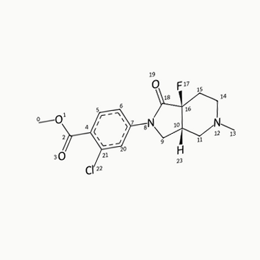 COC(=O)c1ccc(N2C[C@H]3CN(C)CC[C@@]3(F)C2=O)cc1Cl